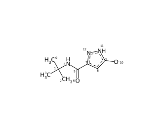 CC(C)(C)NC(=O)c1cc([O])[nH]n1